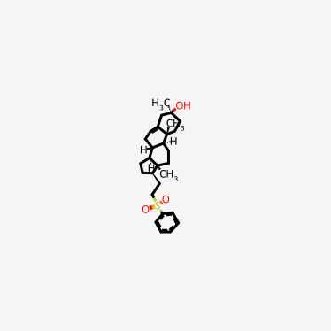 C[C@]1(O)CC[C@@]2(C)C(=CC[C@H]3[C@@H]4CC[C@H](CCS(=O)(=O)c5ccccc5)[C@@]4(C)CC[C@@H]32)C1